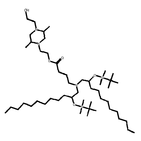 CCCCCCCCCCC(CN(CCCC(=O)OCCN1CC(C)N(CCO)CC1C)CC(CCCCCCCCCC)O[Si](C)(C)C(C)(C)C)O[Si](C)(C)C(C)(C)C